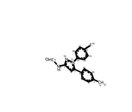 Cc1ccc(-c2cc(NC=O)nn2-c2ccc(F)cc2)cc1